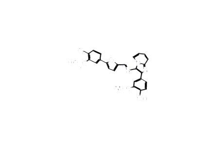 COc1cc(-c2nc3ccccn3c2/N=C/c2ccc(-c3ccc(Cl)c(C(=O)O)c3)o2)ccc1O